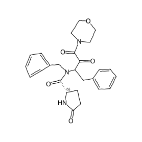 O=C1CC[C@@H](C(=O)N(Cc2ccccc2)C(Cc2ccccc2)C(=O)C(=O)N2CCOCC2)N1